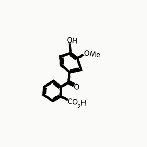 COc1cc(C(=O)c2ccccc2C(=O)O)ccc1O